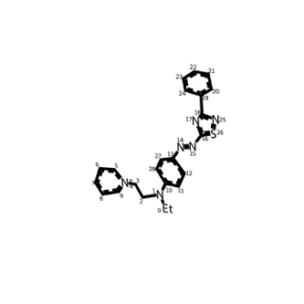 CCN(CC[n+]1ccccc1)c1ccc(/N=N/c2nc(-c3ccccc3)ns2)cc1